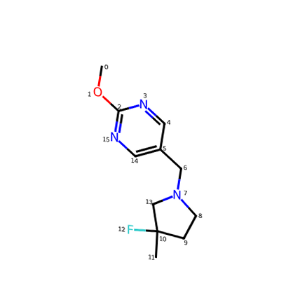 COc1ncc(CN2CCC(C)(F)C2)cn1